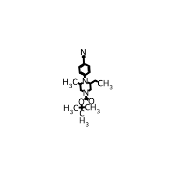 CCC1CN(C(=O)OC(C)(C)C)CC(C)N1c1ccc(C#N)cc1